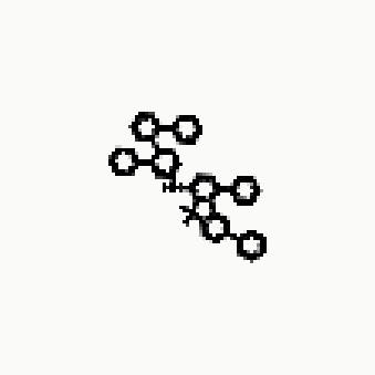 CC1(C)c2ccc(-c3ccccc3)cc2-c2c(-c3ccccc3)ccc(Nc3ccc(-c4ccccc4-c4ccccc4)c(-c4ccccc4)c3)c21